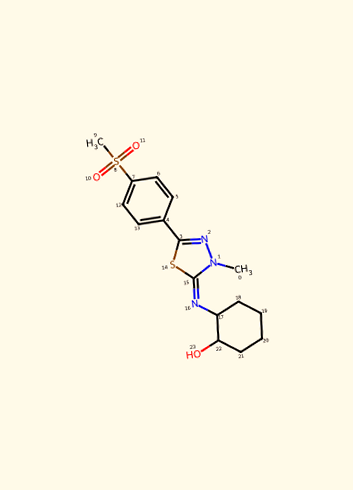 Cn1nc(-c2ccc(S(C)(=O)=O)cc2)s/c1=N/C1CCCCC1O